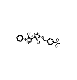 CCn1c(SCc2ccc(S(C)(=O)=O)cc2)nnc1-c1cnn(-c2ccccc2)c1C(F)(F)F